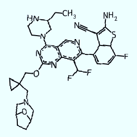 CCC1CN(c2nc(OCC3(CN4CC5CCC(C4)O5)CC3)nc3c(C(F)F)c(C4=CC=C(F)C5SC(N)=C(C#N)C45)ncc23)CCN1